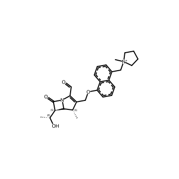 C[C@H]1C(COc2cccc3c(C[N+]4(C)CCCC4)cccc23)=C(C=O)N2C(=O)[C@H]([C@@H](C)O)C12